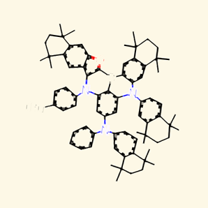 CC(C)(C)c1ccc(N2c3cc(N(c4ccccc4)c4ccc5c(c4)C(C)(C)CCC5(C)C)cc4c3B(c3cc5c(cc3N4c3ccc4c(c3)C(C)(C)CCC4(C)C)C(C)(C)CCC5(C)C)c3oc4cc5c(cc4c32)C(C)(C)CCC5(C)C)cc1